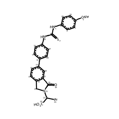 COc1ccc(NC(=S)Nc2ccc(-c3ccc4c(c3)C(=O)N(C(C(=O)O)C(C)C)C4)cc2)cc1